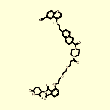 N#Cc1ccc2nccc(NCCc3ccc4cc(C(=O)N5CCN(C(=O)CCOCCOCCNc6cccc7c6C(=O)N(C6CCC(=O)NC6=O)C7=O)CC5)ccc4c3)c2c1